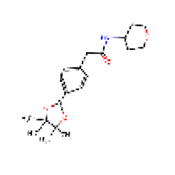 CC1(C)OB(c2ccc(CC(=O)NC3CCOCC3)cc2)OC1(C)C